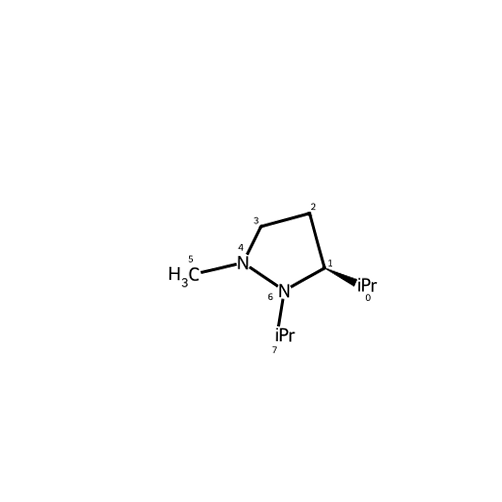 CC(C)[C@@H]1CCN(C)N1C(C)C